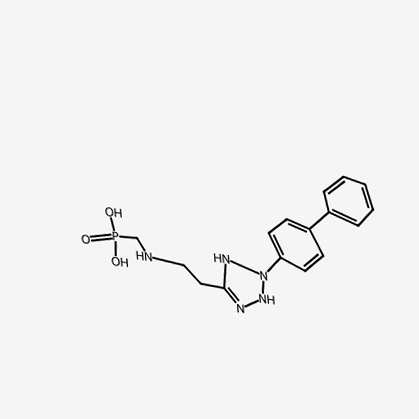 O=P(O)(O)CNCCC1=NNN(c2ccc(-c3ccccc3)cc2)N1